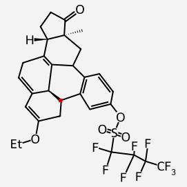 CCOC1=CC2=CCC3=C4C(C[C@]5(C)C(=O)CC[C@@H]35)c3ccc(OS(=O)(=O)C(F)(F)C(F)(F)C(F)(F)C(F)(F)F)cc3C[C@]24CC1